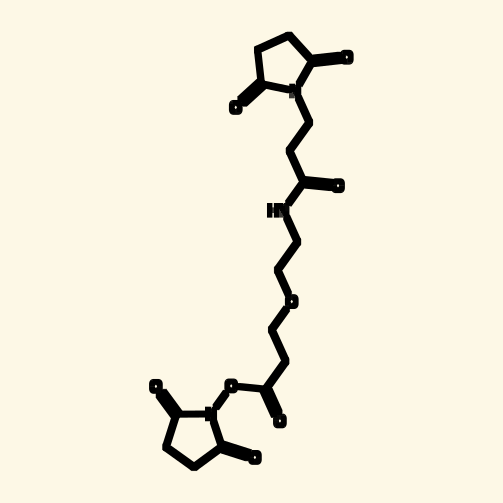 O=C(CCN1C(=O)CCC1=O)NCCOCCC(=O)ON1C(=O)CCC1=O